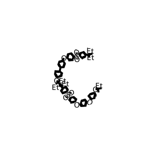 CCC(C)(C)Oc1ccc(Oc2ccc(Oc3ccc(S(=O)(=O)c4ccc(C(CC)(CC)C(C)(CC)Oc5ccc(-c6ccc(Oc7ccc(S(=O)(=O)c8ccc(C(C)(CC)CC)cc8)cc7)cc6)cc5)cc4)cc3)cc2)cc1